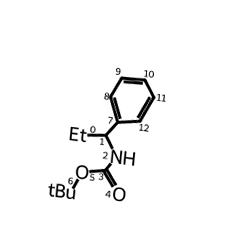 [CH2]CC(NC(=O)OC(C)(C)C)c1ccccc1